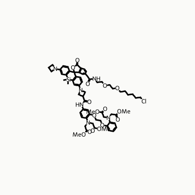 COC(=O)CN(CC(=O)OC)c1ccccc1OCCOc1cc(NC(=O)C2CN(c3ccc4c(c3)[Si](C)(C)c3cc(N5CCC5)ccc3C43OC(=O)c4ccc(C(=O)NCCOCCOCCCCCCCl)cc43)C2)ccc1N(CC(=O)OC)CC(=O)OC